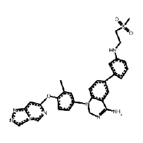 Cc1cc(N2CN=C(N)c3cc(-c4cccc(NCCS(C)(=O)=O)c4)ccc32)ccc1Oc1cc2nncn2cn1